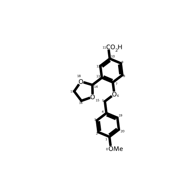 COc1ccc(COc2ccc(C(=O)O)cc2C2OCCO2)cc1